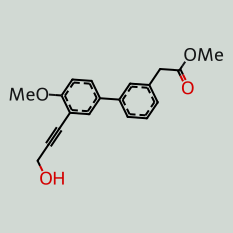 COC(=O)Cc1cccc(-c2ccc(OC)c(C#CCO)c2)c1